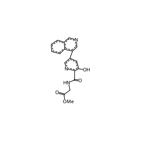 COC(=O)CNC(=O)c1ncc(-c2cncc3ccccc23)cc1O